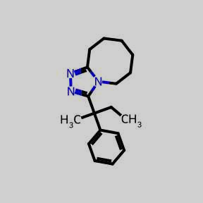 CCC(C)(c1ccccc1)c1nnc2n1CCCCCC2